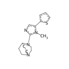 Cn1c(-c2cccs2)cnc1N1CCN2CCC1CC2